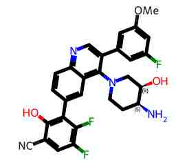 COc1cc(F)cc(-c2cnc3ccc(-c4c(O)c(C#N)cc(F)c4F)cc3c2N2CC[C@H](N)[C@H](O)C2)c1